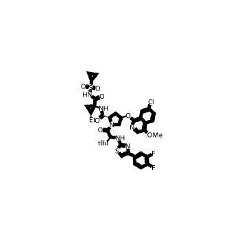 CC[C@@H]1C[C@]1(NC(=O)[C@@H]1C[C@@H](Oc2ncc(OC)c3ccc(Cl)cc23)CN1C(=O)[C@@H](Nc1nc(-c2ccc(F)c(F)c2)cs1)C(C)(C)C)C(=O)NS(=O)(=O)C1CC1